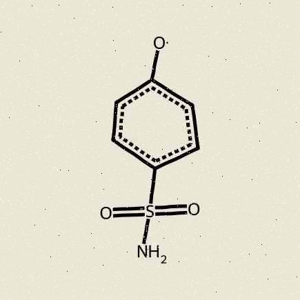 NS(=O)(=O)c1ccc([O])cc1